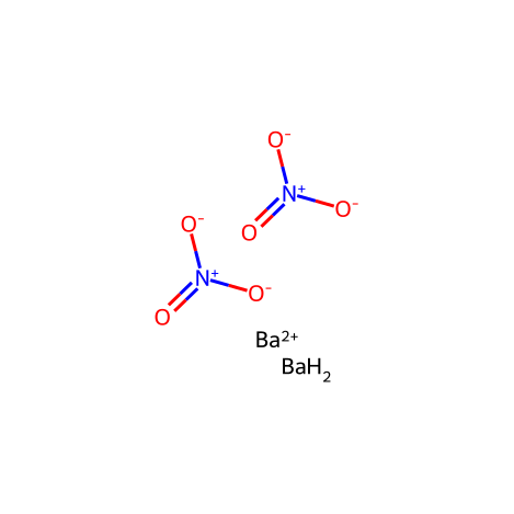 O=[N+]([O-])[O-].O=[N+]([O-])[O-].[Ba+2].[BaH2]